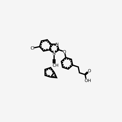 C#Cn1c(Oc2cccc(CCC(=O)O)c2)nc2ccc(Cl)cc21.c1cc2cc-2c1